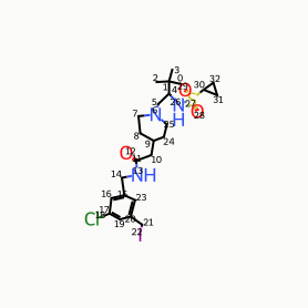 CC(C)(C)C(CN1CCC(CC(=O)NCc2cc(Cl)cc(CI)c2)CC1)NS(=O)(=O)C1CC1